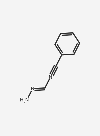 NN=C[N+]#Cc1ccccc1